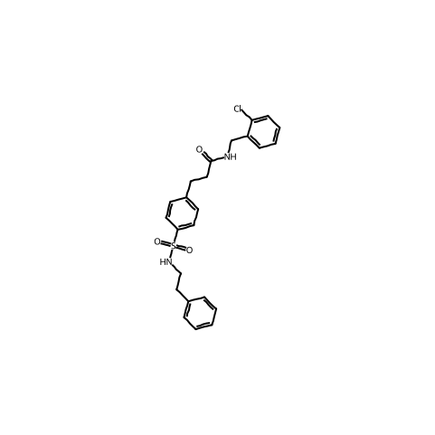 O=C(CCc1ccc(S(=O)(=O)NCCc2ccccc2)cc1)NCc1ccccc1Cl